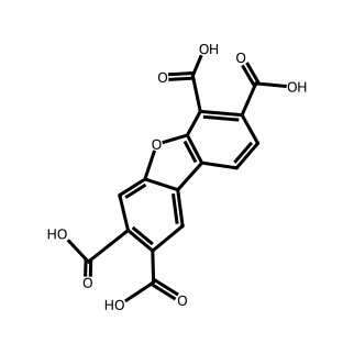 O=C(O)c1cc2oc3c(C(=O)O)c(C(=O)O)ccc3c2cc1C(=O)O